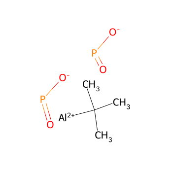 C[C](C)(C)[Al+2].O=P[O-].O=P[O-]